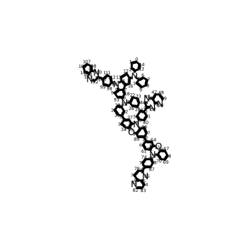 c1ccc(N(c2ccccc2)c2ccc3c(c2)c2cc(N(c4ccccc4)c4cccc(-c5ccc6c(c5)N(c5ccc(-c7cnc8cccnc8n7)cc5)c5ccc(-c7ccc8c(c7)Oc7ccccc7N8c7ccc(-c8ccc9ncccc9n8)cc7)cc5O6)c4)ccc2n3-c2ccc(-c3cnc4ccccc4n3)cc2)cc1